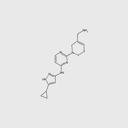 NCC1=CSCN(c2nccc(Nc3cc(C4CC4)[nH]n3)n2)C1